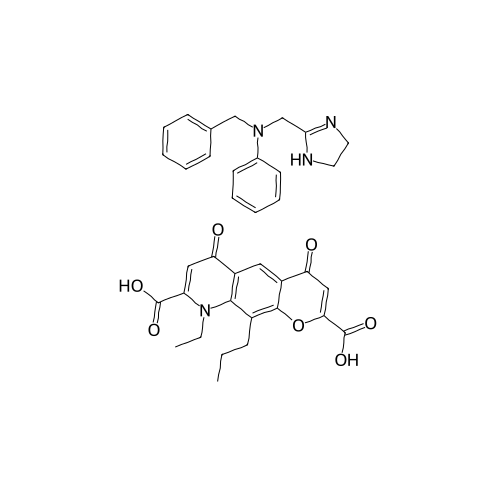 CCCc1c2oc(C(=O)O)cc(=O)c2cc2c(=O)cc(C(=O)O)n(CC)c12.c1ccc(CN(CC2=NCCN2)c2ccccc2)cc1